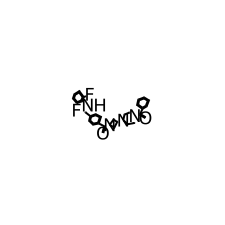 O=C(c1ccccc1)N1CCN(C2CN(C(=O)c3ccc(CNc4c(F)cccc4F)cc3)C2)CC1